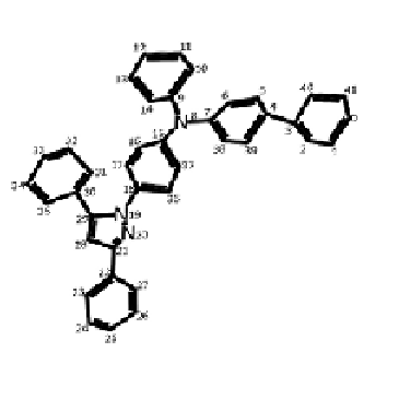 c1ccc(-c2ccc(N(c3ccccc3)c3ccc(-n4nc(-c5ccccc5)cc4-c4ccccc4)cc3)cc2)cc1